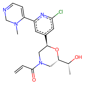 C=CC(=O)N1C[C@@H](c2cc(Cl)nc(C3=CC=NCN3C)c2)O[C@H]([C@@H](C)O)C1